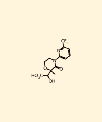 CC1(C(O)C(=O)O)OCCN(c2cccc(C(F)(F)F)n2)C1=O